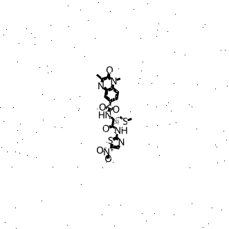 CSC[C@@H](NS(=O)(=O)c1ccc2c(c1)nc(C)c(=O)n2C)C(=O)Nc1ncc([N+](=O)[O-])s1